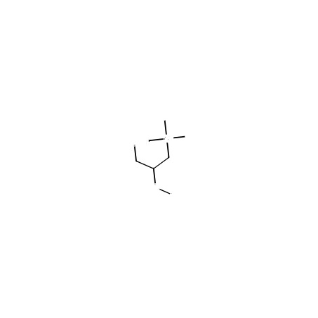 CCOC(CC(=O)O)C[N+](C)(C)C